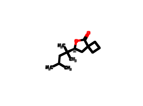 CC(C)CC(C)(C)[C@@H]1CC2(CCC2)C(=O)O1